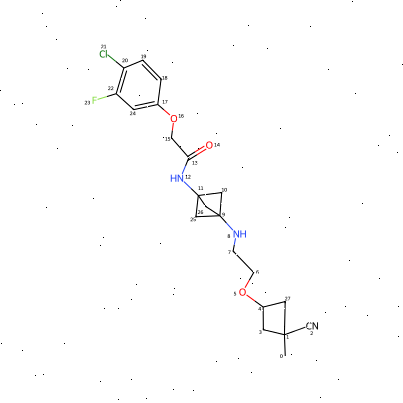 CC1(C#N)CC(OCCNC23CC(NC(=O)COc4ccc(Cl)c(F)c4)(C2)C3)C1